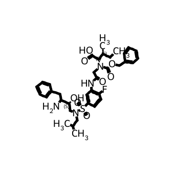 CC[C@H](C)[C@@H](C(=O)O)N(CC(=O)Nc1cc(S(=O)(=O)N(CC(C)C)C[C@H](O)C(N)Cc2ccccc2)ccc1F)C(=O)OCc1ccccc1